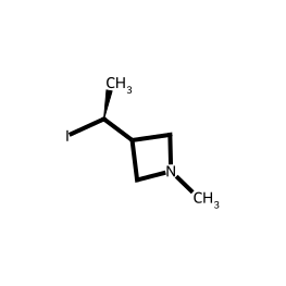 C[C@H](I)C1CN(C)C1